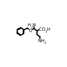 NCCC(C(=O)O)C(N)OCc1ccccc1